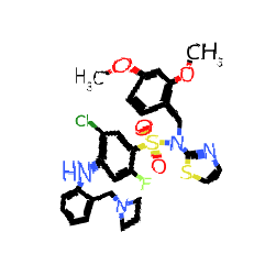 COc1ccc(CN(c2nccs2)S(=O)(=O)c2cc(Cl)c(Nc3ccccc3CN3CCC3)cc2F)c(OC)c1